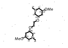 CO[C@H]1C[C@@H](OCCO[C@H]2C[C@H](OC)CN(C)C2)CN(C)C1